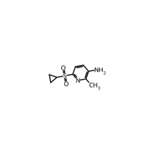 Cc1nc(S(=O)(=O)C2CC2)ccc1N